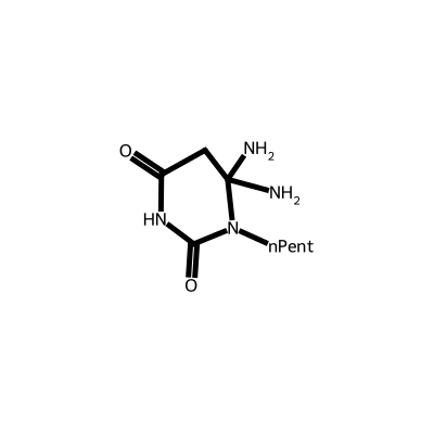 CCCCCN1C(=O)NC(=O)CC1(N)N